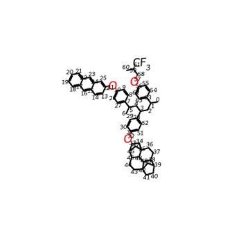 CC(CC(CC(C)c1ccc(Oc2ccc3cc4ccccc4cc3c2)cc1)c1ccc(OC2CC34CCC5C6CCC7(CCC(C2C3)C4C57)C6)cc1)c1ccc(OCC(C)C(F)(F)F)cc1